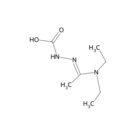 CCN(CC)C(C)=NNC(=O)O